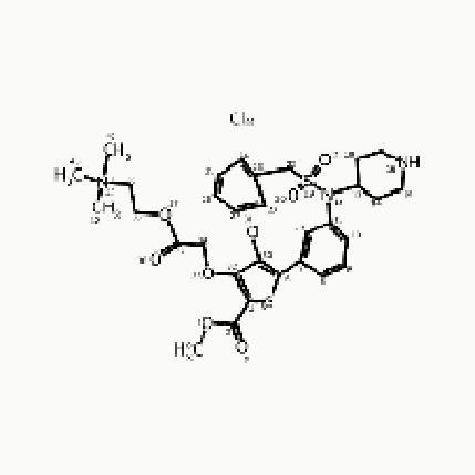 COC(=O)c1sc(-c2cccc(N(C3CCNCC3)S(=O)(=O)Cc3ccccc3)c2)c(Cl)c1OCC(=O)OCC[N+](C)(C)C.[Cl-]